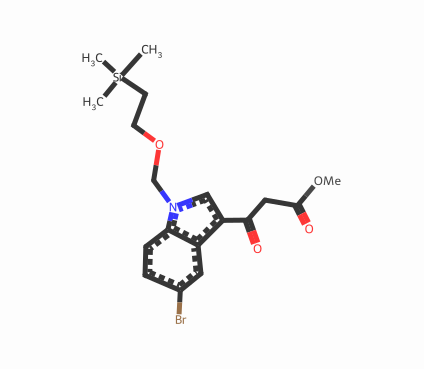 COC(=O)CC(=O)c1cn(COCC[Si](C)(C)C)c2ccc(Br)cc12